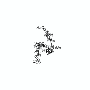 COc1ccc(C2=CN3C(=O)c4cc(OC)c(OCCCCCOc5cc6c(cc5OC)C(=O)N5CC7(CC7)C[C@H]5C(O)N6C(=O)OCc5ccc(NC(=O)[C@H](C)NC(=O)[C@@H](NC(=O)CNC(=O)CNC(=O)CCC(=O)N6Cc7ccccc7C#Cc7ccccc76)C(C)C)cc5)cc4NC[C@@H]3C2)cc1